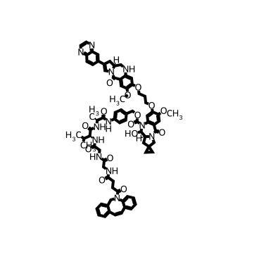 COc1cc2c(cc1OCCCOc1cc3c(cc1OC)C(=O)N1CC4(CC4)C[C@H]1C(O)N3C(=O)OCc1ccc(NC(=O)[C@H](C)NC(=O)[C@@H](NC(=O)CNC(=O)CNC(=O)CCC(=O)N3Cc4ccccc4/C=C\c4ccccc43)C(C)C)cc1)NC[C@@H]1CC(c3ccc4nccnc4c3)=CN1C2=O